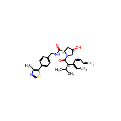 C=C/C=C\C(=C/C)[C@H](C(=O)N1C[C@H](O)C[C@H]1C(=O)NCc1ccc(-c2scnc2C)cc1)C(C)C